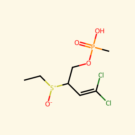 CC[S+]([O-])C(C=C(Cl)Cl)COP(C)(=O)O